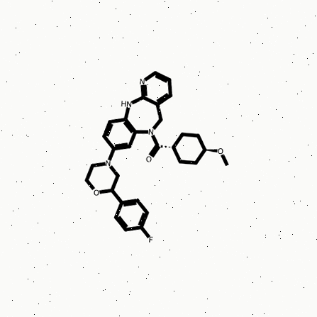 CO[C@H]1CC[C@H](C(=O)N2Cc3cccnc3Nc3ccc(N4CCOC(c5ccc(F)cc5)C4)cc32)CC1